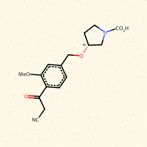 COc1cc(CO[C@@H]2CCN(C(=O)O)C2)ccc1C(=O)CC#N